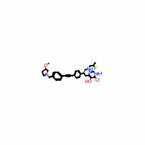 CO[C@@H]1CCN(Cc2ccc(C#Cc3ccc([C@@H](CNCC(C)F)Cc4nc[nH]c(=O)c4O)cc3)cc2)C1